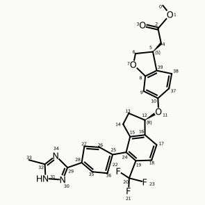 COC(=O)C[C@@H]1COc2cc(O[C@@H]3CCc4c3ccc(C(F)(F)F)c4-c3ccc(-c4n[nH]c(C)n4)cc3)ccc21